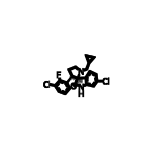 O=C1Nc2cc(Cl)ccc2[C@@]12[C@@H](c1cccc(Cl)c1F)CCN2CC1CC1